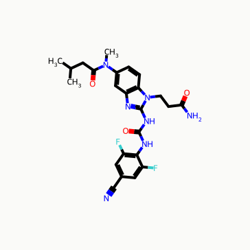 CC(C)CC(=O)N(C)c1ccc2c(c1)nc(NC(=O)Nc1c(F)cc(C#N)cc1F)n2CCC(N)=O